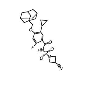 N#CC1CN(S(=O)(=O)NC(=O)c2cc(C3CC3)c(OCC34CC5CC(CC(C5)C3)C4)cc2F)C1